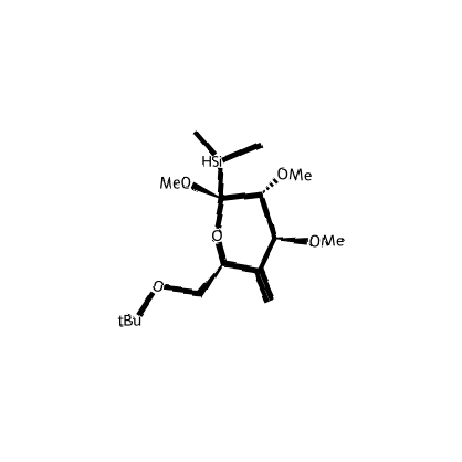 C=C1[C@@H](COC(C)(C)C)O[C@](OC)([SiH](C)C)[C@H](OC)[C@H]1OC